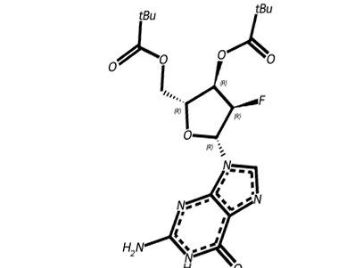 CC(C)(C)C(=O)OC[C@H]1O[C@@H](n2cnc3c(=O)[nH]c(N)nc32)[C@H](F)[C@@H]1OC(=O)C(C)(C)C